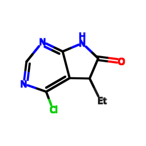 CCC1C(=O)Nc2ncnc(Cl)c21